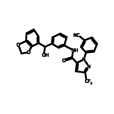 N#Cc1cccc(-n2nc(C(F)(F)F)cc2C(=O)Nc2cccc(C(O)c3cccc4c3OCO4)c2)c1